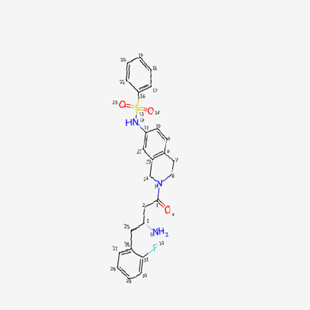 N[C@@H](CC(=O)N1CCc2ccc(NS(=O)(=O)c3ccccc3)cc2C1)Cc1ccccc1F